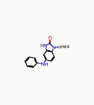 CCCCCCn1c(=O)[nH]c2cc(Nc3ccccc3)ccc21